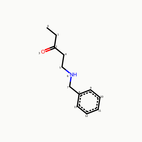 CCC(=O)CCNCc1ccccc1